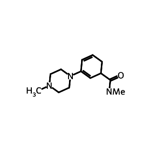 CNC(=O)C1C=C(N2CCN(C)CC2)C=CC1